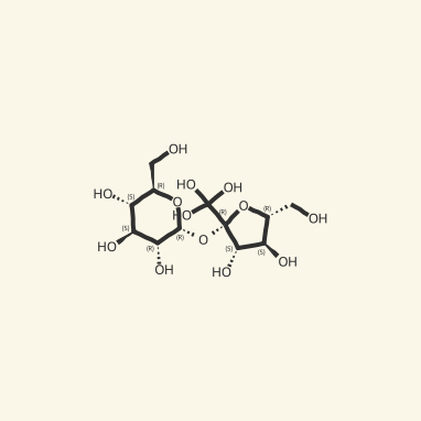 OC[C@H]1O[C@](O[C@H]2O[C@H](CO)[C@@H](O)[C@H](O)[C@H]2O)(C(O)(O)O)[C@@H](O)[C@@H]1O